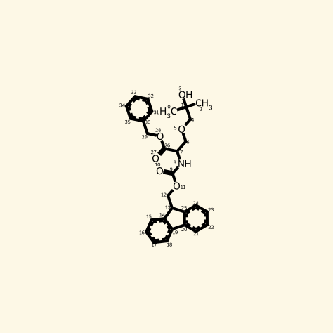 CC(C)(O)COCC(NC(=O)OCC1c2ccccc2-c2ccccc21)C(=O)OCc1ccccc1